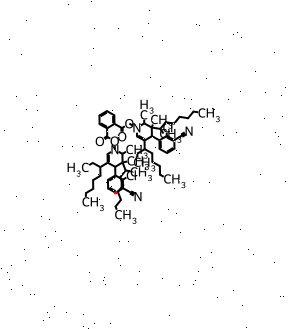 CCCCCCC(C)C1(C)C(c2cccc(C#N)c2Cl)C(C(CC)CCCCC)=CN(OC(=O)c2ccccc2C(=O)ON2C=C(C(CC)CCCCC)C(c3cccc(C#N)c3Cl)C(C)(C(C)CCCCCC)C2C)C1C